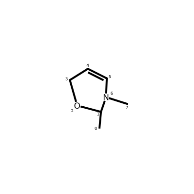 CC1OCC=CN1C